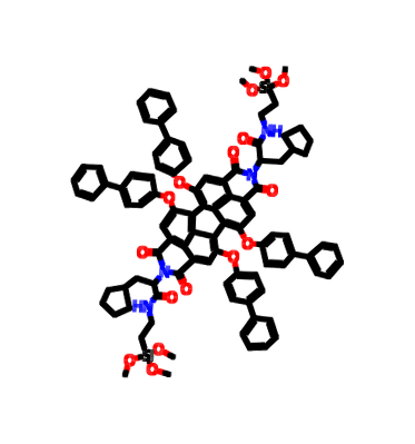 CO[Si](CCNC(=O)C(CC1CCCC1)N1C(=O)c2cc(Oc3ccc(-c4ccccc4)cc3)c3c4c(Oc5ccc(-c6ccccc6)cc5)cc5c6c(cc(Oc7ccc(-c8ccccc8)cc7)c(c7c(Oc8ccc(-c9ccccc9)cc8)cc(c2c37)C1=O)c64)C(=O)N(C(CC1CCCC1)C(=O)NCC[Si](OC)(OC)OC)C5=O)(OC)OC